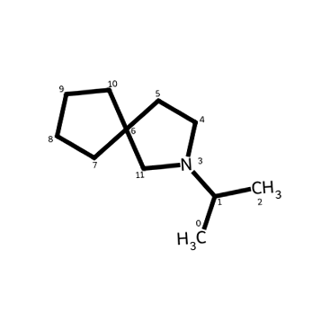 CC(C)N1CCC2(CCCC2)C1